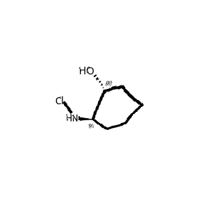 O[C@@H]1CCCC[C@H]1NCl